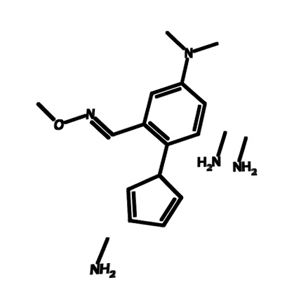 CN.CN.CN.CON=Cc1cc(N(C)C)ccc1C1C=CC=C1